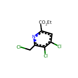 CCOC(=O)c1cc(Cl)c(Cl)c(CCl)n1